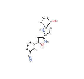 N#Cc1cccc(-c2cc(-c3ccc4c(n3)CCCC4=O)no2)c1